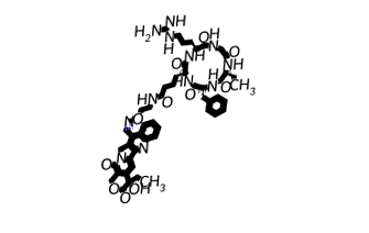 CC[C@@H]1NC(=O)CNC(=O)[C@H](CCCNC(=N)N)NC(=O)[C@H](CCCC(=O)NCCO/N=C\c2c3c(nc4ccccc24)-c2cc4c(c(=O)n2C3)COC(=O)[C@]4(O)CC)NC(=O)[C@@H](Cc2ccccc2)NC1=O